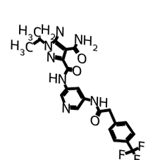 CC(C)n1nc(C(=O)Nc2cncc(NC(=O)Cc3ccc(C(F)(F)F)cc3)c2)c(C(N)=O)c1N